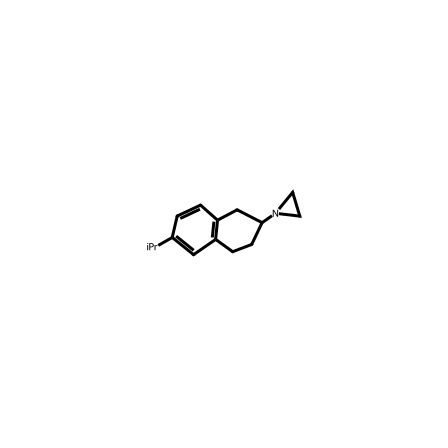 CC(C)c1ccc2c(c1)CCC(N1CC1)C2